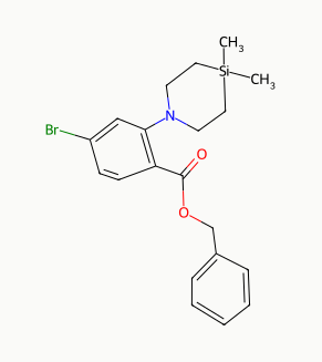 C[Si]1(C)CCN(c2cc(Br)ccc2C(=O)OCc2ccccc2)CC1